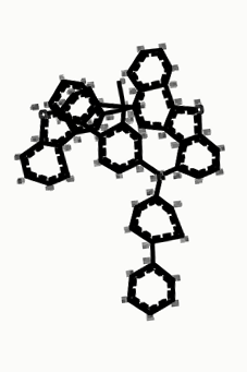 CC1(C)c2ccccc2-c2ccc(N(c3ccc(-c4ccccc4)cc3)c3cccc4oc5c6ccccc6c(-c6ccc7oc8ccccc8c7c6)cc5c34)cc21